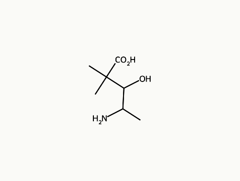 CC(N)C(O)C(C)(C)C(=O)O